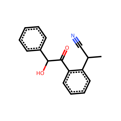 CC(C#N)c1ccccc1C(=O)C(O)c1ccccc1